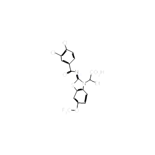 CCC(C(=O)O)n1/c(=N/C(=O)c2ccc(Cl)c(Cl)c2)sc2cc(OC(F)(F)F)ccc21